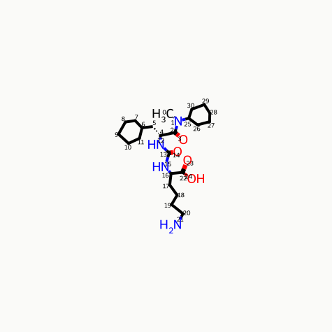 CN(C(=O)[C@@H](CC1CCCCC1)NC(=O)NC(CCCCN)C(=O)O)C1CCCCC1